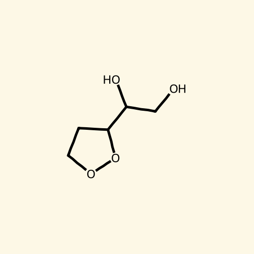 OCC(O)C1CCOO1